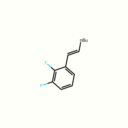 CCCCC=Cc1cccc(F)c1F